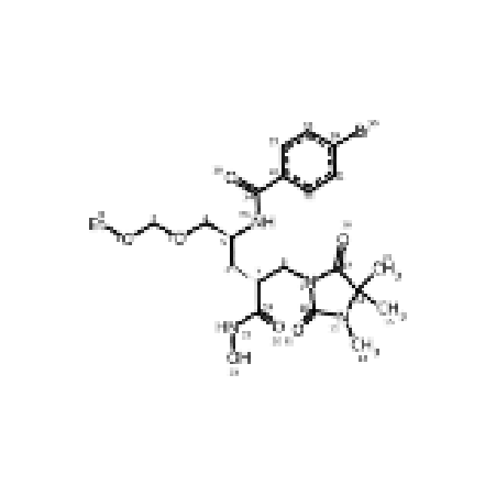 CCOCOC[C@H](C[C@H](CN1C(=O)N(C)C(C)(C)C1=O)C(=O)NO)NC(=O)c1ccc(Br)cc1